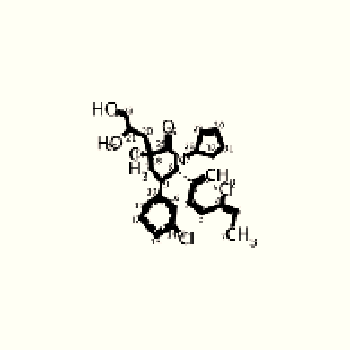 C=C(/C=C\C(Cl)=C/C)[C@@H]1[C@@H](c2cccc(Cl)c2)CC(C)(CC(O)CO)C(=O)N1C1C=CCC1